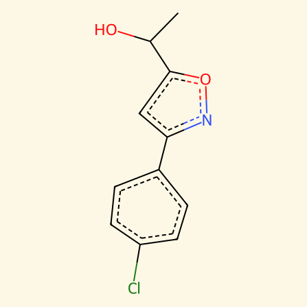 CC(O)c1cc(-c2ccc(Cl)cc2)no1